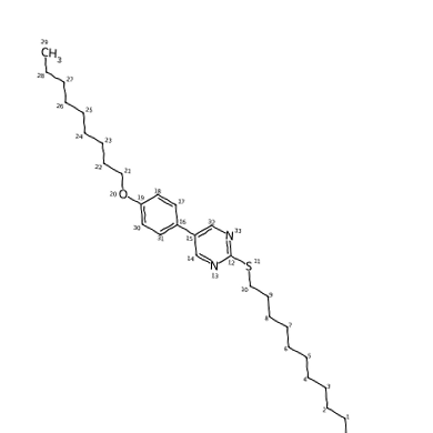 CCCCCCCCCCCSc1ncc(-c2ccc(OCCCCCCCCC)cc2)cn1